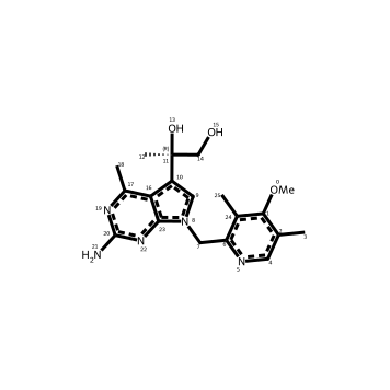 COc1c(C)cnc(Cn2cc([C@@](C)(O)CO)c3c(C)nc(N)nc32)c1C